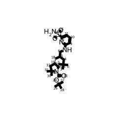 CC(C)(C)CC(CNc1cccc(S(N)(=O)=O)n1)C[C@@H]1CN(C(=O)OC(C)(C)C)C(C)(C)C1